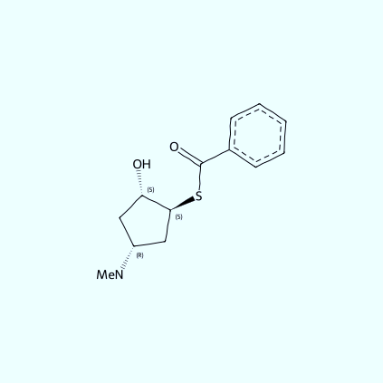 CN[C@H]1C[C@H](SC(=O)c2ccccc2)[C@@H](O)C1